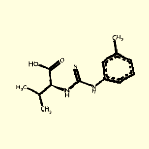 Cc1cccc(NC(=S)N[C@H](C(=O)O)C(C)C)c1